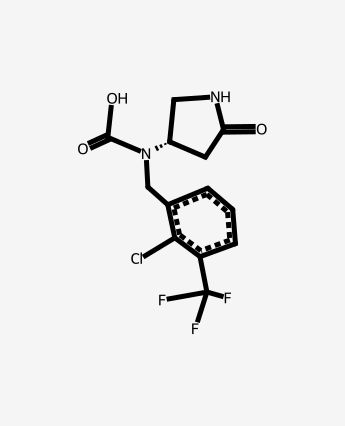 O=C1C[C@H](N(Cc2cccc(C(F)(F)F)c2Cl)C(=O)O)CN1